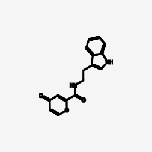 O=C(NCCc1c[nH]c2ccccc12)c1cc(=O)cco1